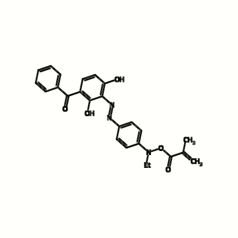 C=C(C)C(=O)ON(CC)c1ccc(N=Nc2c(O)ccc(C(=O)c3ccccc3)c2O)cc1